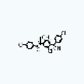 Cc1cc(C(C#N)c2ccc(Cl)cc2)c(Cl)cc1NC(=O)c1ccc(Cl)cc1